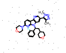 Cc1nnn(C)c1-c1cnc2c3ccc(N4CCOCC4)nc3n(C(CC3CCOCC3)c3ccccc3F)c2c1